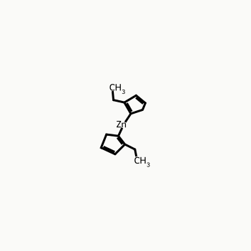 CCC1=[C]([Zn][C]2=C(CC)C=CC2)CC=C1